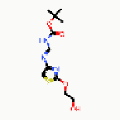 CC(C)(C)OC(=O)N/C=N/c1csc(OCCO)n1